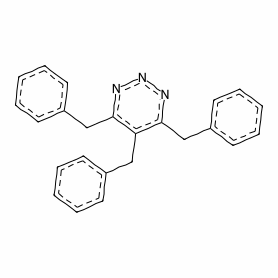 c1ccc(Cc2nnnc(Cc3ccccc3)c2Cc2ccccc2)cc1